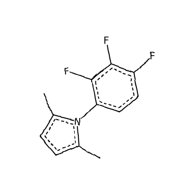 Cc1ccc(C)n1-c1ccc(F)c(F)c1F